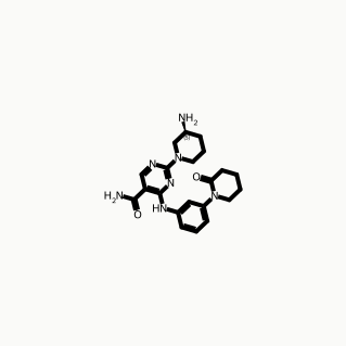 NC(=O)c1cnc(N2CCC[C@H](N)C2)nc1Nc1cccc(N2CCCCC2=O)c1